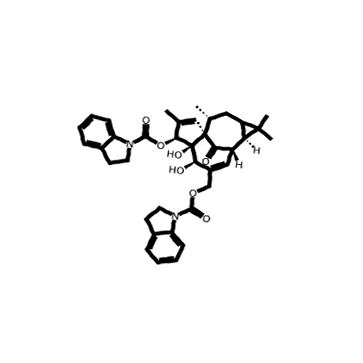 CC1=C[C@]23C(=O)[C@@H](C=C(COC(=O)N4CCc5ccccc54)[C@@H](O)[C@]2(O)[C@H]1OC(=O)N1CCc2ccccc21)[C@H]1C(C[C@H]3C)C1(C)C